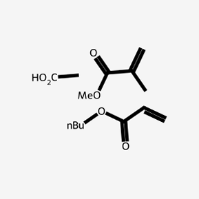 C=C(C)C(=O)OC.C=CC(=O)OCCCC.CC(=O)O